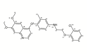 COc1cc2nccc(Oc3ccc(NCCOc4ccccc4Cl)cc3C)c2cc1OC